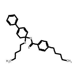 CCCCCSC1(OC(=S)c2ccc(CCCCC)cc2)C=CC(c2ccccc2)=CC1